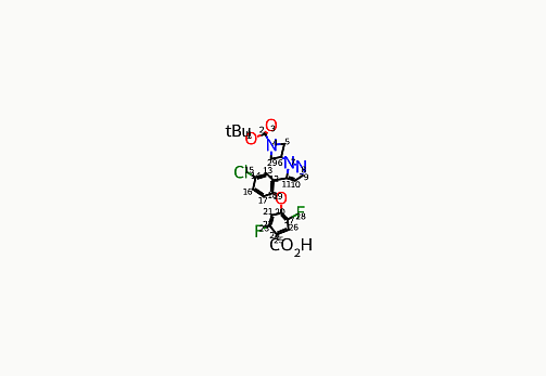 CC(C)(C)OC(=O)N1CC(n2nccc2-c2cc(Cl)ccc2Oc2cc(F)c(C(=O)O)cc2F)C1